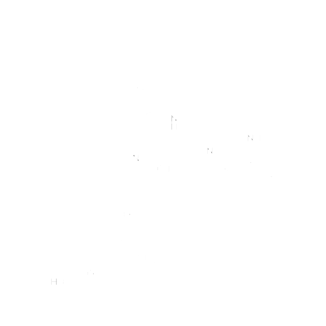 COCC(C)Oc1cccc2cc(C(=O)Nc3ccc(Cl)cc3-c3noc(=O)[nH]3)n(C)c12